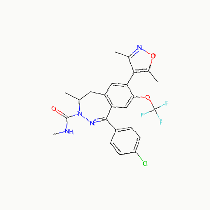 CNC(=O)N1N=C(c2ccc(Cl)cc2)c2cc(OC(F)(F)F)c(-c3c(C)noc3C)cc2CC1C